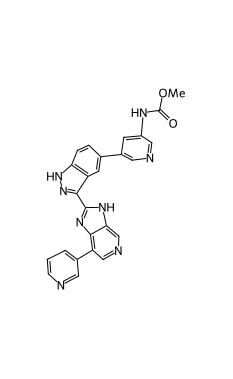 COC(=O)Nc1cncc(-c2ccc3[nH]nc(-c4nc5c(-c6cccnc6)cncc5[nH]4)c3c2)c1